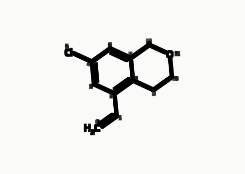 C=Cc1cc(Cl)cc2c1CCOC2